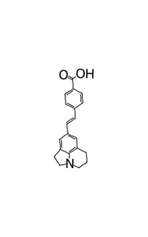 O=C(O)c1ccc(C=Cc2cc3c4c(c2)CCN4CCC3)cc1